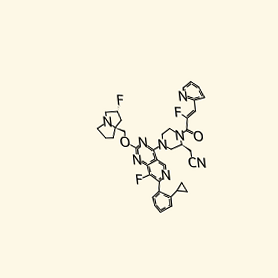 N#CC[C@H]1CN(c2nc(OC[C@@]34CCCN3C[C@H](F)C4)nc3c(F)c(-c4ccccc4C4CC4)ncc23)CCN1C(=O)/C(F)=C/c1ccccn1